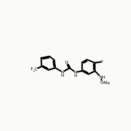 CONc1cc(NC(=O)Nc2cccc(C(F)(F)F)c2)ccc1F